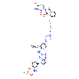 COc1cc(N2CCN(CCCCCOc3cccc4c3C(=O)N(C3CCC(=O)NC3=O)C4=O)CC2)ccc1Nc1ncc2ccc(-c3cccc(NS(C)(=O)=O)c3)n2n1